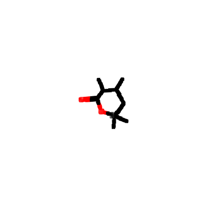 CC1C[Si](C)(C)OC(=O)C1C